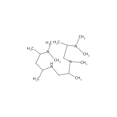 CC(CC(C)N(C)C)NCC(C)N(C)CC(C)N(C)C